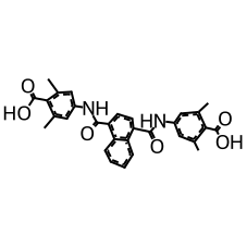 Cc1cc(NC(=O)c2ccc(C(=O)Nc3cc(C)c(C(=O)O)c(C)c3)c3ccccc23)cc(C)c1C(=O)O